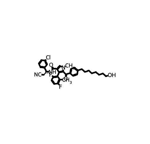 Cc1c(F)ccc(F)c1-c1c(C(=O)N[C@@H](CC#N)c2cccc(Cl)c2)cn(C)c1C(=O)c1ccc(CCCCCCCCO)cc1